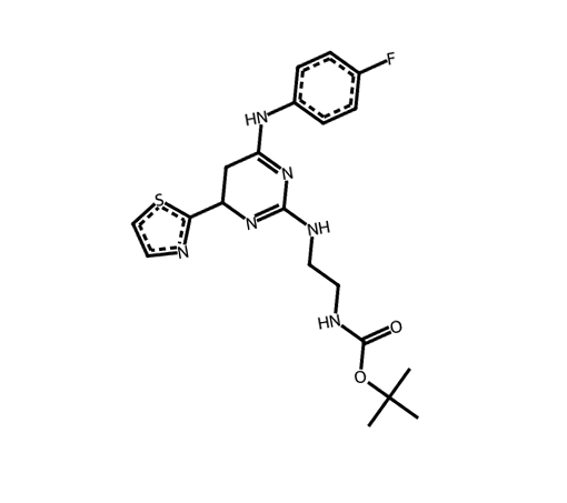 CC(C)(C)OC(=O)NCCNC1=NC(c2nccs2)CC(Nc2ccc(F)cc2)=N1